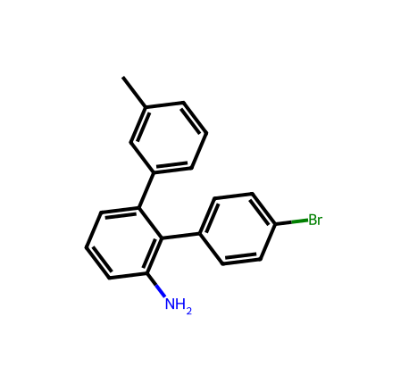 Cc1cccc(-c2cccc(N)c2-c2ccc(Br)cc2)c1